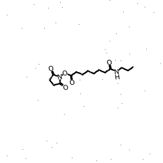 CCCNC(=O)CCCCCCC(=O)ON1C(=O)CCC1=O